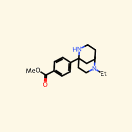 CCN1CCC2(c3ccc(C(=O)OC)cc3)CC1CCN2